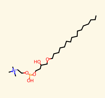 CCCCCCCCCCCCCCCCOCC(O)CCOP(O)OCC[N+](C)(C)C